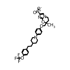 CC1(COc2ccc(N3CCC(CCc4ccc(OC(F)(F)F)cc4)CC3)cc2)CCn2cc([N+](=O)[O-])nc2O1